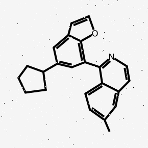 Cc1ccc2c(-c3cc(C4CCCC4)cc4ccoc34)nccc2c1